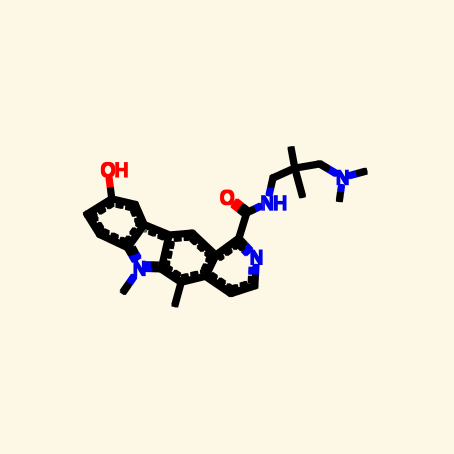 Cc1c2ccnc(C(=O)NCC(C)(C)CN(C)C)c2cc2c3cc(O)ccc3n(C)c12